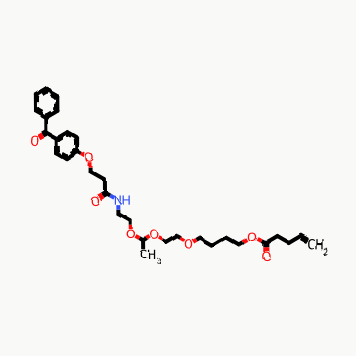 C=CCCC(=O)OCCCCOCCOC(C)OCCNC(=O)CCOc1ccc(C(=O)c2ccccc2)cc1